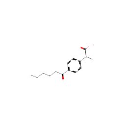 CCCCCC(=O)c1ccc(C(C)C(=O)O)cc1